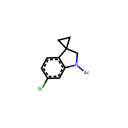 CC(=O)N1CC2(CC2)c2ccc(Br)cc21